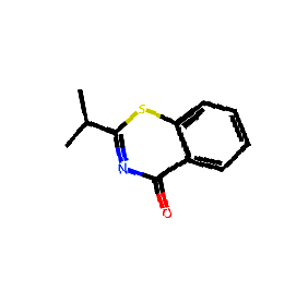 CC(C)c1nc(=O)c2ccccc2s1